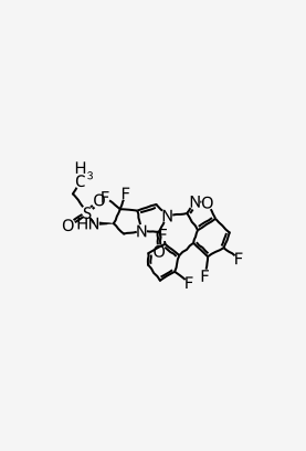 CCS(=O)(=O)N[C@@H]1Cn2c(cn(-c3noc4cc(F)c(F)c(-c5c(F)cccc5F)c34)c2=O)C1(F)F